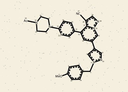 COc1ccc(Cn2cc(-c3cc(-c4ccc(N5CCN(C(C)=O)CC5)nc4)c4c(C#N)cnn4c3)cn2)cc1